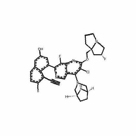 C#Cc1c(F)ccc2cc(O)cc(-c3ncc4c(N5C[C@H]6CC[C@@H](C5)N6)c(Cl)c(OC[C@@]56CCCN5C[C@H](F)C6)nc4c3F)c12